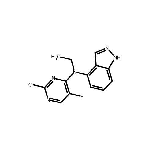 CCN(c1nc(Cl)ncc1F)c1cccc2[nH]ncc12